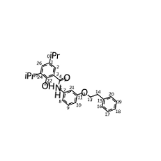 CC(C)c1cc(C(=O)Nc2cccc(OCCc3ccccc3)c2)c(O)c(C(C)C)c1